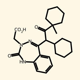 CC1(C(=O)C(C2=NN(CC(=O)O)C(=O)Nc3ccccc32)C2CCCCC2)CCCCC1